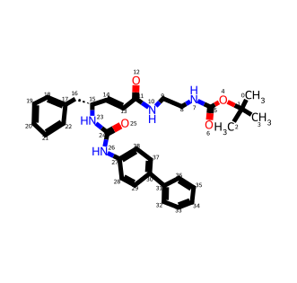 CC(C)(C)OC(=O)NCCNC(=O)/C=C/[C@@H](Cc1ccccc1)NC(=O)Nc1ccc(-c2ccccc2)cc1